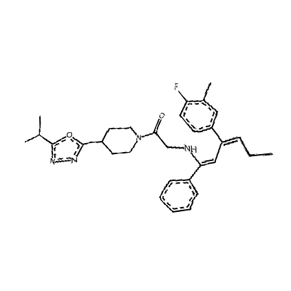 CC/C=C(\C=C(/NCC(=O)N1CCC(c2nnc(C(C)C)o2)CC1)c1ccccc1)c1ccc(F)c(C)c1